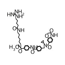 CN(CCCCCCNC(=O)CCCCNC(=N)N)C(=O)c1ccc(NC(=O)c2ccc(CN(C(=O)c3ccc4c(c3)OCC(=O)N4)C3CC3)cc2)cc1